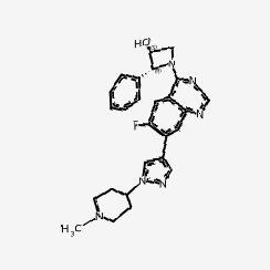 CN1CCC(n2cc(-c3cc4ncnc(N5C[C@H](O)[C@H]5c5ccccc5)c4cc3F)cn2)CC1